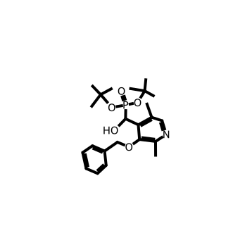 Cc1cnc(C)c(OCc2ccccc2)c1C(O)P(=O)(OC(C)(C)C)OC(C)(C)C